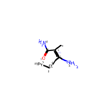 CC/C(N)=C(/C)C(N)=O.CCCC